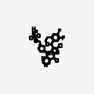 NS(=O)(=O)OC[C@@H]1CC[C@H](Nc2ncncc2C(=O)c2cc(C3OCCc4cc(F)c(F)cc43)c(Cl)s2)C1